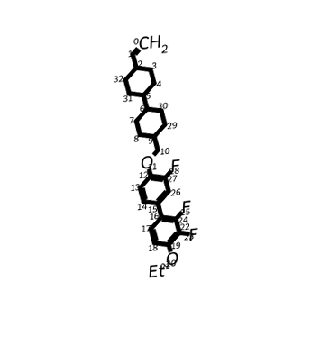 C=CC1CCC(C2CCC(COc3ccc(-c4ccc(OCC)c(F)c4F)cc3F)CC2)CC1